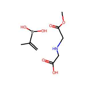 C=C(C)B(O)O.COC(=O)CNCC(=O)O